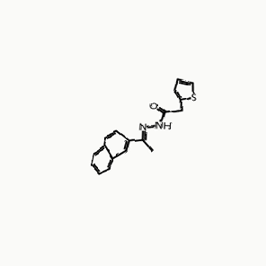 CC(=NNC(=O)Cc1cccs1)c1ccc2ccccc2c1